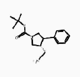 CC(C)(C)OC(=O)N1C[C@@H](CN)[C@H](c2ccccc2)C1